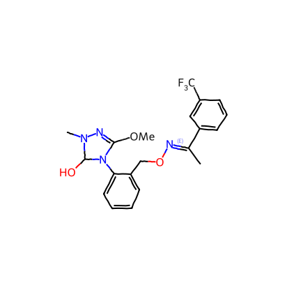 COC1=NN(C)C(O)N1c1ccccc1CO/N=C(\C)c1cccc(C(F)(F)F)c1